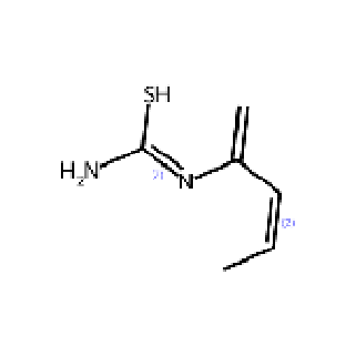 C=C(/C=C\C)/N=C(/N)S